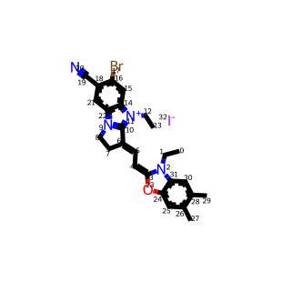 CCN1C(=CC=C2CCn3c2[n+](CC)c2cc(Br)c(C#N)cc23)Oc2cc(C)c(C)cc21.[I-]